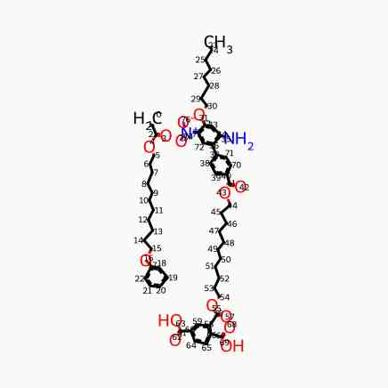 C=CC(=O)OCCCCCCCCCCCOc1ccccc1.CCCCCCCCOc1cc(N)c(-c2ccc(C(=O)OCCCCCCCCCCCOC(=O)c3cc(C(=O)O)ccc3C(=O)O)cc2)cc1[N+](=O)[O-]